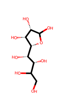 OCC(O)[C@@H](O)[C@H](O)[C@H]1OC(O)[C@@H](O)[C@H]1O